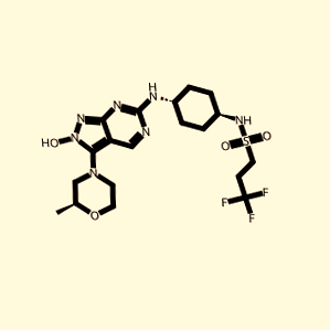 C[C@H]1CN(c2c3cnc(N[C@H]4CC[C@H](NS(=O)(=O)CCC(F)(F)F)CC4)nc3nn2O)CCO1